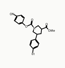 CCc1ccc(C2CC(C(=O)OC)CN(C(=O)Oc3ccc(N=O)cc3)C2)cc1